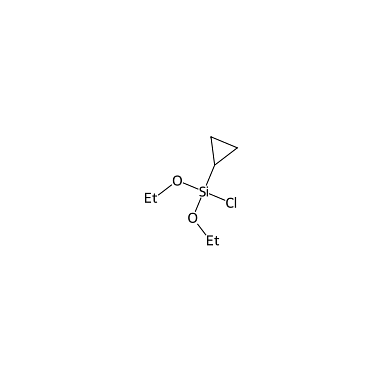 CCO[Si](Cl)(OCC)C1CC1